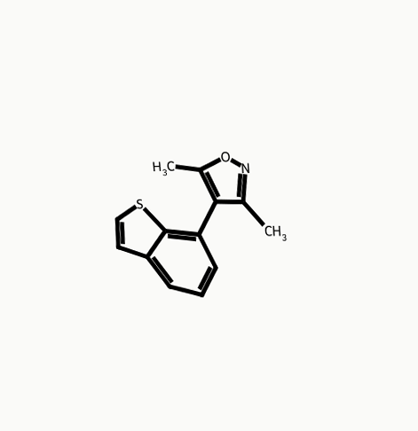 Cc1noc(C)c1-c1cccc2ccsc12